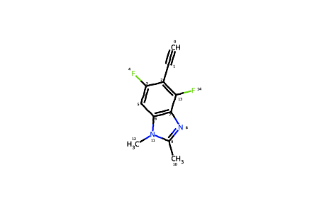 C#Cc1c(F)cc2c(nc(C)n2C)c1F